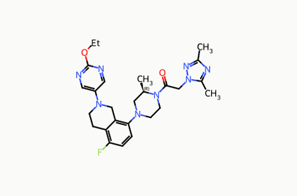 CCOc1ncc(N2CCc3c(F)ccc(N4CCN(C(=O)Cn5nc(C)nc5C)[C@H](C)C4)c3C2)cn1